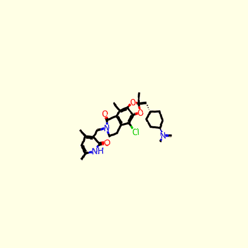 Cc1cc(C)c(CN2CCc3c(Cl)c4c(c(C)c3C2=O)OC(C)(C[C@H]2CC[C@H](N(C)C)CC2)O4)c(=O)[nH]1